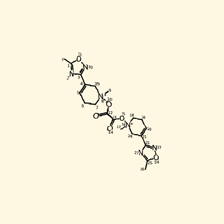 Cc1nc(C2=CCC[N+](C)(OC(=O)C(=O)O[N+]3(C)CCC=C(c4noc(C)n4)C3)C2)no1